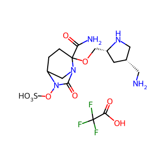 NC[C@H]1CN[C@@H](COC2(C(N)=O)CCC3CN2C(=O)N3OS(=O)(=O)O)C1.O=C(O)C(F)(F)F